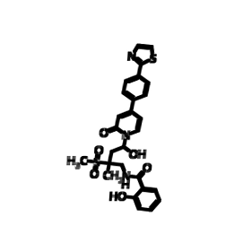 CC(CNC(=O)c1ccccc1O)(CC(O)n1ccc(-c2ccc(-c3nccs3)cc2)cc1=O)S(C)(=O)=O